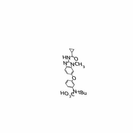 Cn1c(NC(=O)C2CC2)nc2ccc(Oc3cccc(N(C(=O)O)C(C)(C)C)c3)cc21